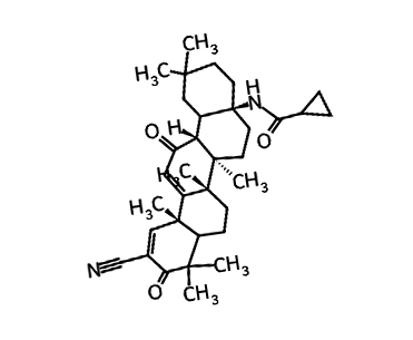 CC1(C)CC[C@]2(NC(=O)C3CC3)CC[C@]3(C)[C@H](C(=O)C=C4[C@@]5(C)C=C(C#N)C(=O)C(C)(C)C5CC[C@]43C)C2C1